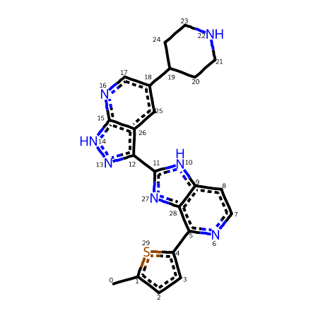 Cc1ccc(-c2nccc3[nH]c(-c4n[nH]c5ncc(C6CCNCC6)cc45)nc23)s1